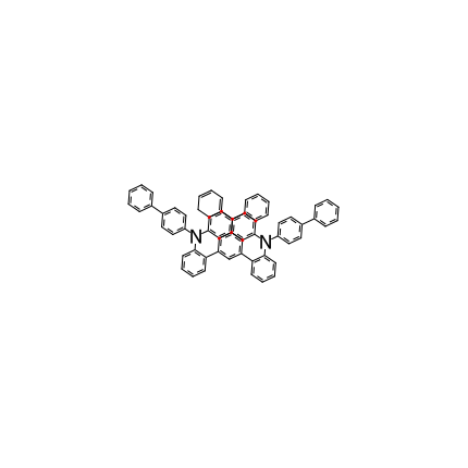 C1=CCCC(c2ccc(N(c3ccc(-c4ccccc4)cc3)c3ccccc3-c3cccc(-c4ccccc4N(c4ccc(-c5ccccc5)cc4)c4ccc(-c5ccccc5)cc4)c3)cc2)=C1